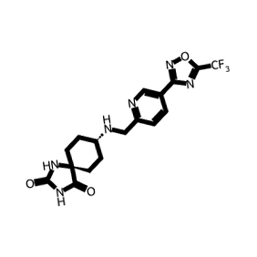 O=C1NC(=O)[C@]2(CC[C@@H](NCc3ccc(-c4noc(C(F)(F)F)n4)cn3)CC2)N1